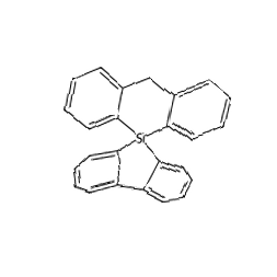 c1ccc2c(c1)Cc1ccccc1[Si]21c2ccccc2-c2ccccc21